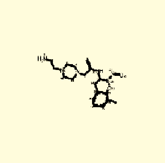 C=C(CN1CCN(CCN)CC1)NC1Cc2cccc(C)c2OB1N=O